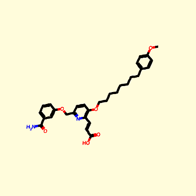 COc1ccc(CCCCCCCCOc2ccc(COc3cccc(C(N)=O)c3)nc2C=CC(=O)O)cc1